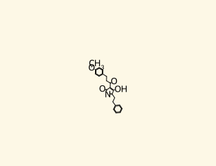 COc1ccc(CCC(=O)C2=C(O)C(CCc3ccccc3)=NC2=O)cc1